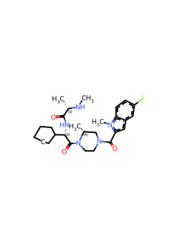 CN[C@@H](C)C(=O)N[C@H](C(=O)N1CCN(C(=O)c2cc3cc(F)ccc3n2C)C[C@H]1C)C1CCCCC1